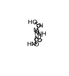 CNC(=O)c1ccnc2c([C@H](C)CNc3cc(-c4cncc(C(C)(C)O)c4)ncn3)cccc12